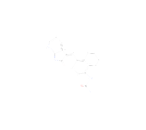 NC(=O)Nc1ccc(C=C2C(=O)Nc3ncccc32)c2c1CCCC2